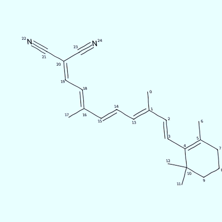 CC(C=CC1=C(C)CCCC1(C)C)=CC=CC(C)=CC=C(C#N)C#N